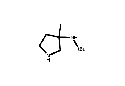 CC(C)(C)NC1(C)CCNC1